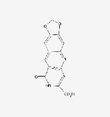 CCOC(=O)c1nc2nc3cc4c(cc3cc2c(=O)[nH]1)OCO4